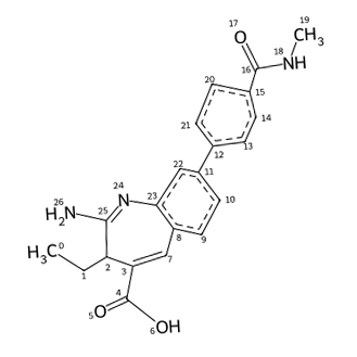 CCC1C(C(=O)O)=Cc2ccc(-c3ccc(C(=O)NC)cc3)cc2N=C1N